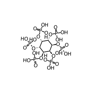 O=P(O)(O)O[C@H]1[C@H](OP(=O)(O)O)[C@H](OP(=O)(O)O)[C@H](OP(=O)(O)O)[C@@H](OP(=O)(O)O)[C@H]1OP(=O)(O)O